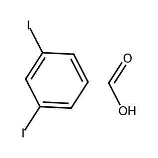 Ic1cccc(I)c1.O=CO